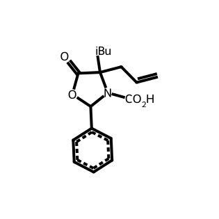 C=CCC1(C(C)CC)C(=O)OC(c2ccccc2)N1C(=O)O